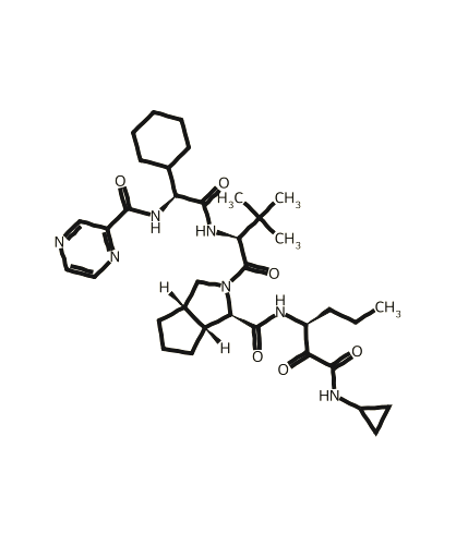 CCC[C@H](NC(=O)[C@H]1[C@@H]2CCC[C@@H]2CN1C(=O)[C@@H](NC(=O)[C@@H](NC(=O)c1cnccn1)C1CCCCC1)C(C)(C)C)C(=O)C(=O)NC1CC1